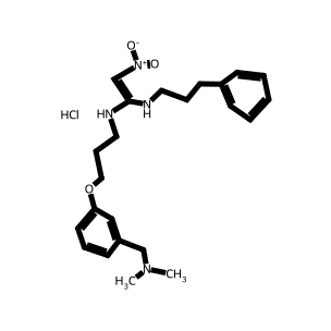 CN(C)Cc1cccc(OCCCN/C(=C/[N+](=O)[O-])NCCCc2ccccc2)c1.Cl